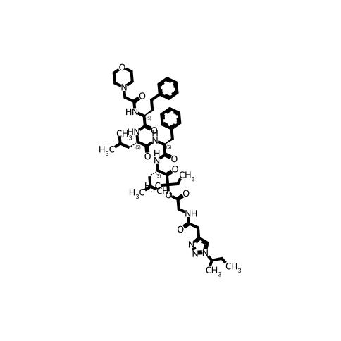 CCC(C)n1cc(CC(=O)NCC(=O)OC(C)(CC)C(=O)[C@H](CC(C)C)NC(=O)[C@H](Cc2ccccc2)NC(=O)[C@H](CC(C)C)NC(=O)[C@H](CCc2ccccc2)NC(=O)CN2CCOCC2)nn1